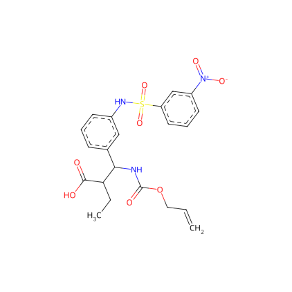 C=CCOC(=O)NC(c1cccc(NS(=O)(=O)c2cccc([N+](=O)[O-])c2)c1)C(CC)C(=O)O